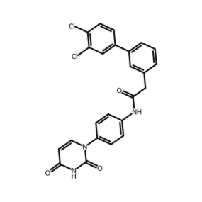 O=C(Cc1cccc(-c2ccc(Cl)c(Cl)c2)c1)Nc1ccc(-n2ccc(=O)[nH]c2=O)cc1